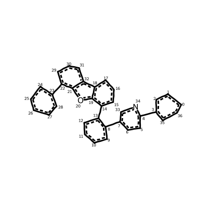 c1ccc(-c2ccc(-c3ccccc3-c3cccc4c3oc3c(-c5ccccc5)cccc34)cn2)cc1